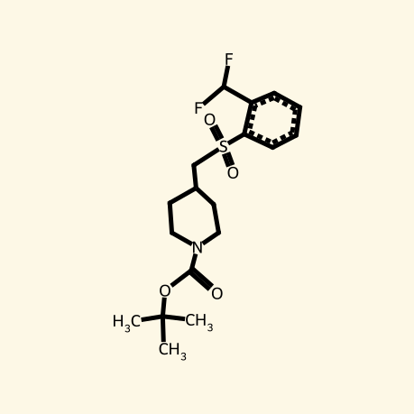 CC(C)(C)OC(=O)N1CCC(CS(=O)(=O)c2ccccc2C(F)F)CC1